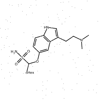 CCCCCCC(Oc1ccc2[nH]cc(CCN(C)C)c2c1)S(N)(=O)=O